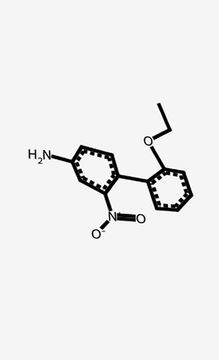 CCOc1ccccc1-c1ccc(N)cc1[N+](=O)[O-]